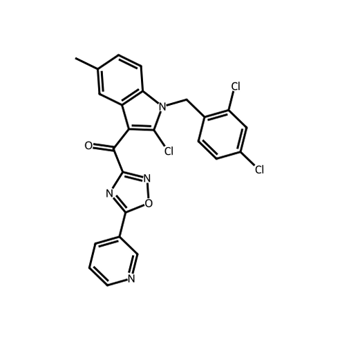 Cc1ccc2c(c1)c(C(=O)c1noc(-c3cccnc3)n1)c(Cl)n2Cc1ccc(Cl)cc1Cl